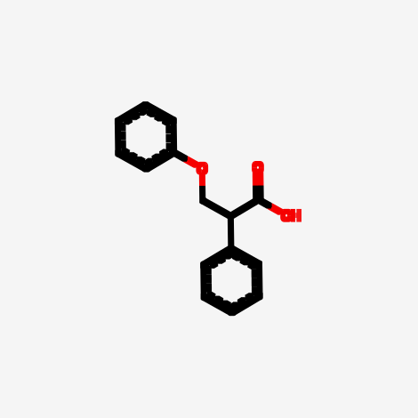 O=C(O)C(COc1ccccc1)c1ccccc1